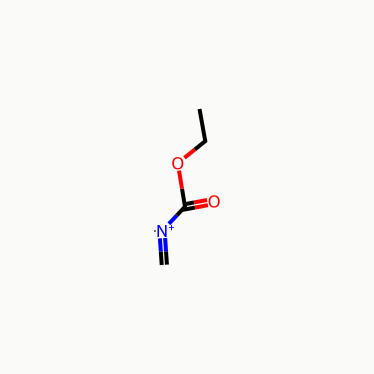 C=[N+]C(=O)OCC